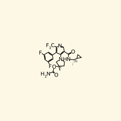 C[C@H](NC(=O)c1cnc(C(F)(F)F)c(-c2cc(F)cc(F)c2)c1N1CC[C@](C)(OC(N)=O)C1)C1CC1